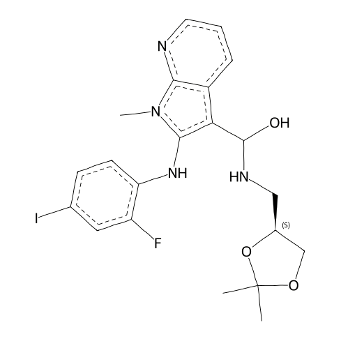 Cn1c(Nc2ccc(I)cc2F)c(C(O)NC[C@H]2COC(C)(C)O2)c2cccnc21